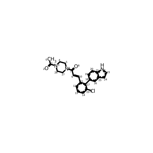 CC(=O)N1CCN(C(=O)/C=C/c2cc[c]c(Cl)c2-c2ccc3[nH]ccc3c2)CC1